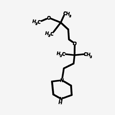 COC(C)(C)CCOC(C)(C)CCN1CCNCC1